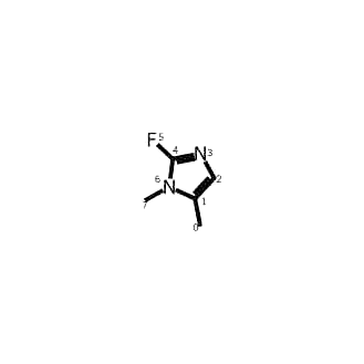 Cc1cnc(F)n1C